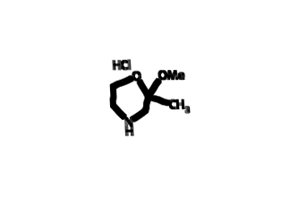 COC1(C)CNCCO1.Cl